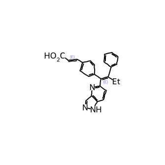 CC/C(=C(/c1ccc(/C=C/C(=O)O)cc1)c1ccc2[nH]ncc2n1)c1ccccc1